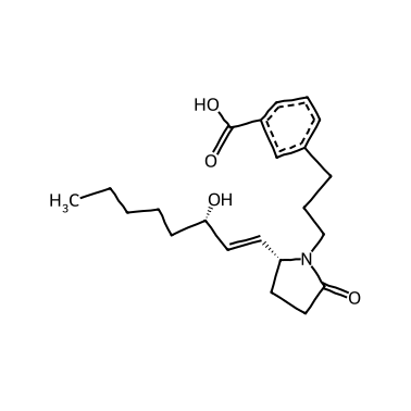 CCCCC[C@H](O)C=C[C@H]1CCC(=O)N1CCCc1cccc(C(=O)O)c1